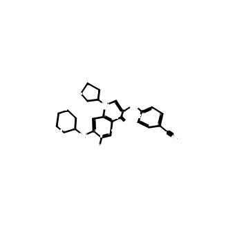 N#Cc1ccc(Oc2cn(C3CCCC3)c3cc(NC4CCCCC4)c(F)cc3c2=O)cc1